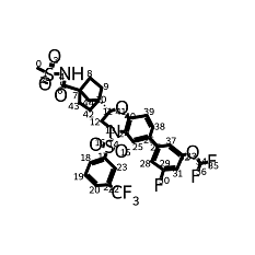 CS(=O)(=O)NC(=O)C12CCC([C@H]3CN(S(=O)(=O)c4cccc(C(F)(F)F)c4)c4cc(-c5cc(F)cc(OC(F)F)c5)ccc4O3)(CC1)C2